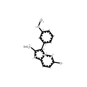 CCOC(=O)c1nc2ccc(Cl)nn2c1-c1cccc(OC(F)(F)F)c1